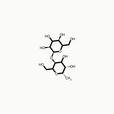 C[C@@H]1OC(CO)[C@@H](O[C@@H]2OC(CO)[C@H](O)C(O)[C@@H]2O)C(O)[C@@H]1O